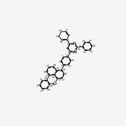 C1=CC(c2cc(-c3ccc(-c4ccc5c6c(cccc46)-c4ccccc4O5)cc3)nc(-c3ccccc3)n2)=CCC1